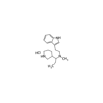 CCC(C1CCCNC1)N(C)CCc1c[nH]c2ccccc12.Cl